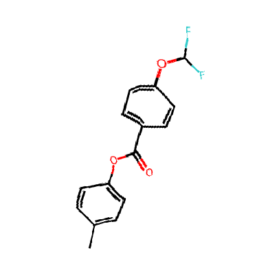 Cc1ccc(OC(=O)c2ccc(OC(F)F)cc2)cc1